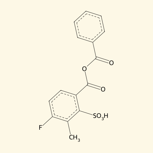 Cc1c(F)ccc(C(=O)OC(=O)c2ccccc2)c1S(=O)(=O)O